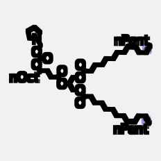 CCCCC/C=C\C/C=C\CCCCCCCC(=O)OCC(COC(=O)CCCCCCC/C=C\C/C=C\CCCCC)OC(=O)CCC(CCCCCCCC)OC(=O)OCN1CCCC1